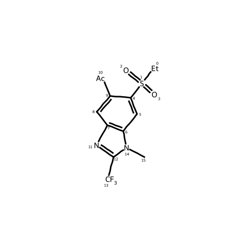 CCS(=O)(=O)c1cc2c(cc1C(C)=O)nc(C(F)(F)F)n2C